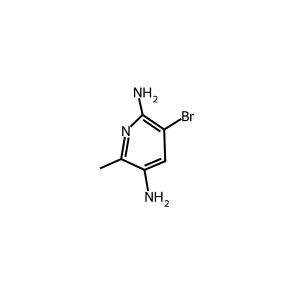 Cc1nc(N)c(Br)cc1N